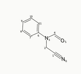 N#CCN(C=O)c1[c]cccc1